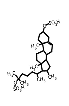 CC(CCCC(C)(C)OS(=O)(=O)O)C1C(C)CC2C3CC=C4CC(OS(=O)(=O)O)CCC4(C)C3CCC21C